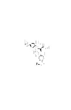 C[C@H](N[C@H]1CC[C@H](N/C=C(/C(=N)N)C(=N)Nc2ccc(S(=O)(=O)C(F)(F)F)cc2)[C@@H](CC#N)C1)C1CC1